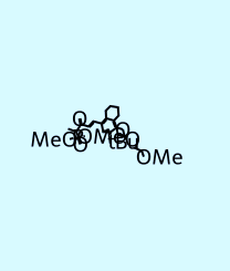 COCCOCOc1c(C(C)(C)C)cc(/C=C/C(=O)C(C)P(=O)(OC)OC)c2c1CCCC2